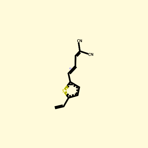 C=Cc1ccc(/C=C/C=C(C#N)C#N)s1